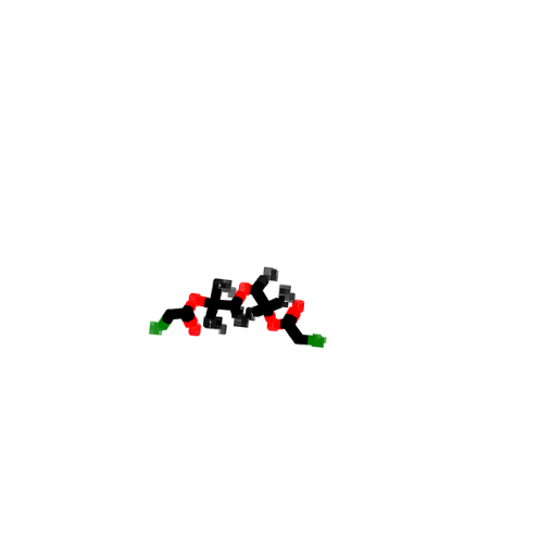 CCC(OC(CC)C(C)(C)OC(=O)CBr)C(C)(C)OC(=O)CBr